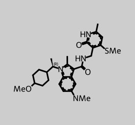 CNc1ccc2c(c1)c(C(=O)NCc1c(SC)cc(C)[nH]c1=O)c(C)n2[C@H](C)C1CCC(OC)CC1